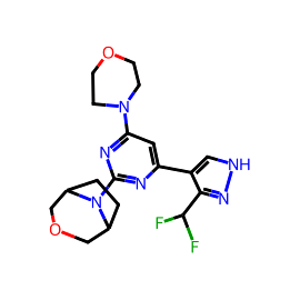 FC(F)c1n[nH]cc1-c1cc(N2CCOCC2)nc(N2C3CCC2COC3)n1